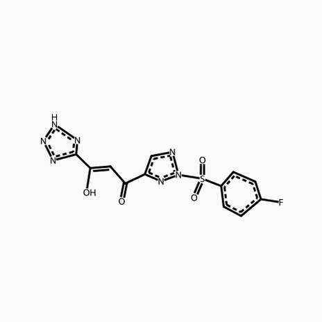 O=C(C=C(O)c1nn[nH]n1)c1cnn(S(=O)(=O)c2ccc(F)cc2)n1